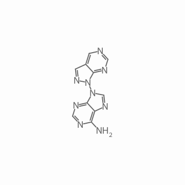 Nc1ncnc2c1ncn2-n1ncc2cncnc21